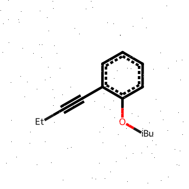 CCC#Cc1ccccc1OC(C)CC